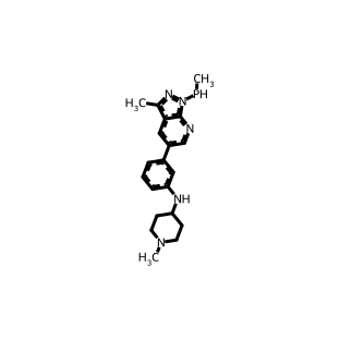 CPn1nc(C)c2cc(-c3cccc(NC4CCN(C)CC4)c3)cnc21